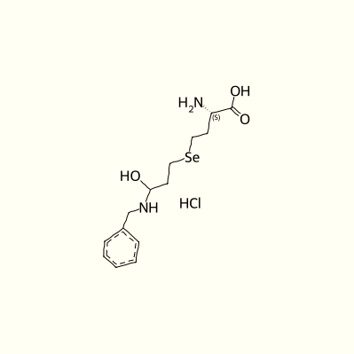 Cl.N[C@@H](CC[Se]CCC(O)NCc1ccccc1)C(=O)O